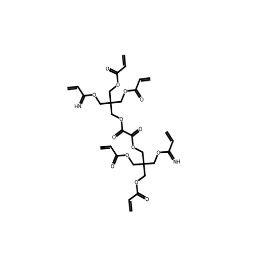 C=CC(=N)OCC(COC(=O)C=C)(COC(=O)C=C)COC(=O)C(=O)OCC(COC(=N)C=C)(COC(=O)C=C)COC(=O)C=C